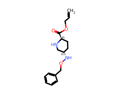 C=CCOC(=O)[C@H]1CC[C@H](NOCc2ccccc2)CN1